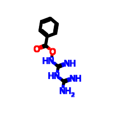 N=C(N)NC(=N)NOC(=O)c1ccccc1